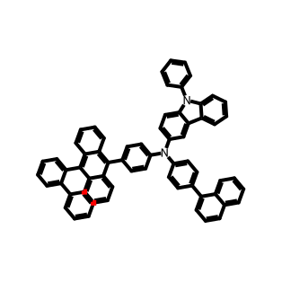 c1ccc(-c2ccccc2-c2c3ccccc3c(-c3ccc(N(c4ccc(-c5cccc6ccccc56)cc4)c4ccc5c(c4)c4ccccc4n5-c4ccccc4)cc3)c3ccccc23)cc1